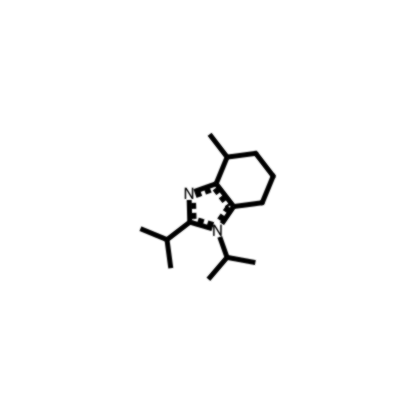 CC(C)c1nc2c(n1C(C)C)CCCC2C